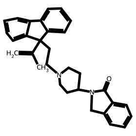 C=C(C)C1(CCN2CCC(N3Cc4ccccc4C3=O)CC2)c2ccccc2-c2ccccc21